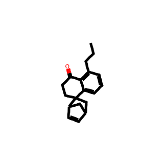 CCCc1cccc2c1C(=O)CCC21CC2C=CC1C2